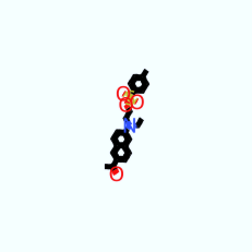 CCN(CCOS(=O)(=O)c1ccc(C)cc1)c1ccc2cc(C(C)=O)ccc2c1